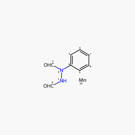 O=CNN(C=O)c1ccccc1.[Mn]